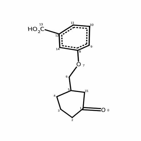 O=C1CCCC(COc2cccc(C(=O)O)c2)C1